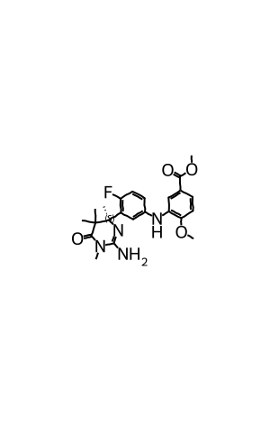 COC(=O)c1ccc(OC)c(Nc2ccc(F)c([C@@]3(C)N=C(N)N(C)C(=O)C3(C)C)c2)c1